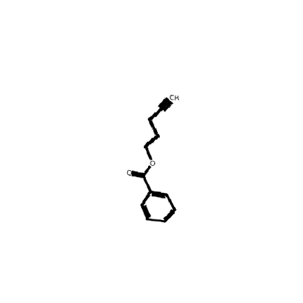 C#CCCCOC(=O)c1ccccc1